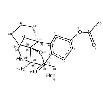 CC(=O)Oc1ccc2c(c1)[C@@]13CCCC[C@@]1(OC(C)=O)[C@@H](C2)NCC3.Cl